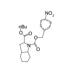 CCCCOC(=O)C1CC2CCCCC2N1C(=O)OCc1ccc([N+](=O)[O-])cc1